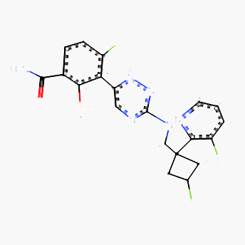 NC(=O)c1ccc(F)c(-c2cnc(NCC3(c4ncccc4F)CC(F)C3)nn2)c1O